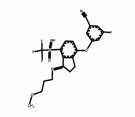 COCCC/N=C1\CCc2c(Oc3cc(F)cc(C#N)c3)ccc(S(=N)(=O)C(F)(F)F)c21